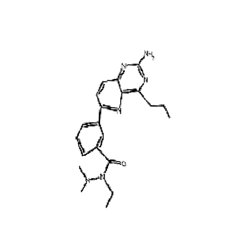 CCCc1nc(N)nc2ccc(-c3cccc(C(=O)N(CC)N(C)C)c3)nc12